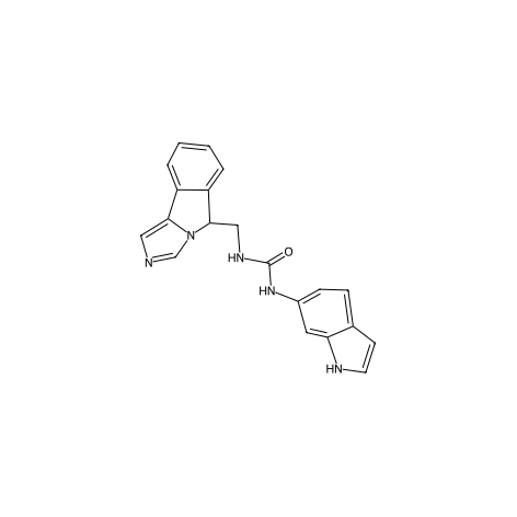 O=C(NCC1c2ccccc2-c2cncn21)Nc1ccc2cc[nH]c2c1